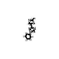 Cc1ncc(-c2nnn(-c3ccccc3)n2)s1